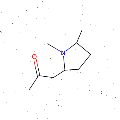 CC(=O)CC1CCC(C)N1C